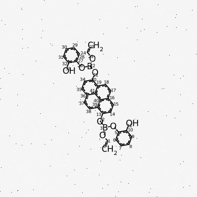 C=COB(Oc1ccccc1O)Oc1ccc2ccc3c(OB(OC=C)Oc4ccccc4O)ccc4ccc1c2c43